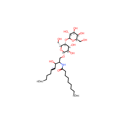 CCCCCCCCCCCCC/C=C/C(O)C(CO[C@@H]1O[C@H](CO)[C@H](OC2O[C@H](CO)[C@H](O)[C@H](O)[C@H]2O)[C@H](O)[C@H]1O)NC(=O)CCCCCCCCCCCCCCCCC